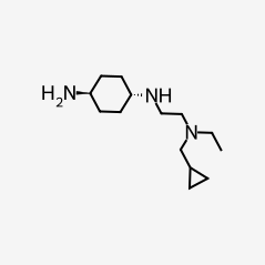 CCN(CCN[C@H]1CC[C@H](N)CC1)CC1CC1